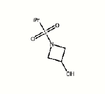 CC(C)S(=O)(=O)N1CC(O)C1